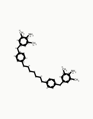 Cc1cc(Cc2ccc(CCCCCCCc3ccc(Cc4cc(C)c(N)c(C)c4)cc3)cc2)cc(C)c1N